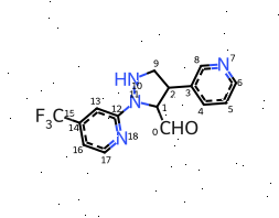 O=CC1C(c2cccnc2)CNN1c1cc(C(F)(F)F)ccn1